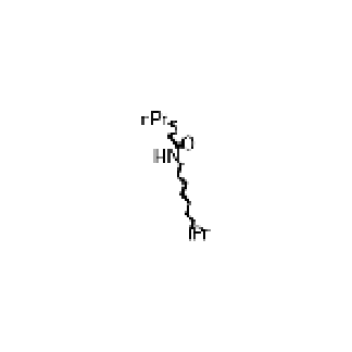 CCCSCC(=O)NCCCCCCCC(C)C